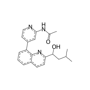 CC(=O)Nc1cc(-c2cccc3ccc(C(O)CC(C)C)nc23)ccn1